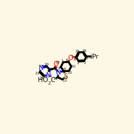 CC(C)c1ccc(OC2CCC3(CC2)SC[C@@H](C(=O)O)N3C(=O)c2cnccn2)cc1